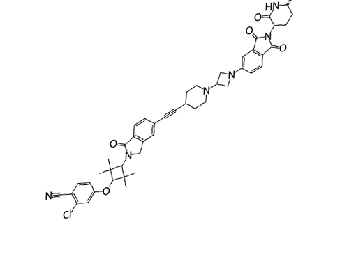 CC1(C)C(Oc2ccc(C#N)c(Cl)c2)C(C)(C)C1N1Cc2cc(C#CC3CCN(C4CN(c5ccc6c(c5)C(=O)N(C5CCC(=O)NC5=O)C6=O)C4)CC3)ccc2C1=O